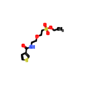 CCOS(=O)(=O)CCOCCNC(=O)c1ccsc1